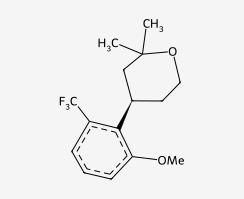 COc1cccc(C(F)(F)F)c1[C@@H]1CCOC(C)(C)C1